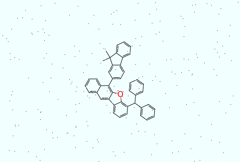 CC1(C)c2ccccc2-c2ccc(-c3c4ccccc4cc4c3oc3c(C(c5ccccc5)c5ccccc5)cccc34)cc21